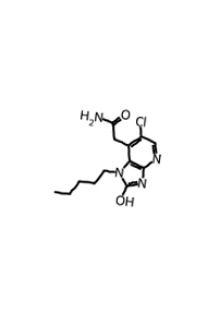 CCCCCn1c(O)nc2ncc(Cl)c(CC(N)=O)c21